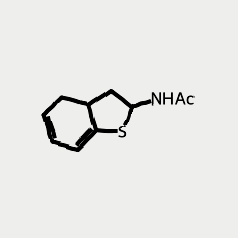 CC(=O)NC1CC2CC=CC=C2S1